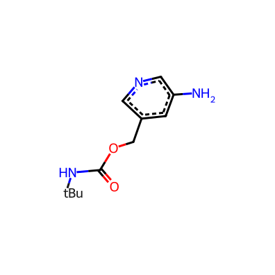 CC(C)(C)NC(=O)OCc1cncc(N)c1